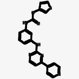 O=C(Nc1cccc(Nc2nccc(-c3ccncc3)n2)c1)Oc1ccsc1